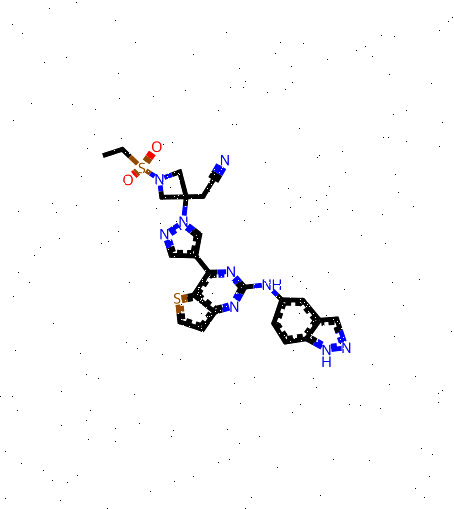 CCS(=O)(=O)N1CC(CC#N)(n2cc(-c3nc(Nc4ccc5[nH]ncc5c4)nc4ccsc34)cn2)C1